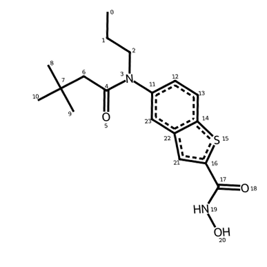 CCCN(C(=O)CC(C)(C)C)c1ccc2sc(C(=O)NO)cc2c1